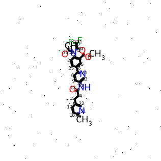 COC(=O)c1cc(-c2ccc(NC(=O)CCc3ccc(C)nc3)cn2)ccc1N(CC(F)F)C(C)=O